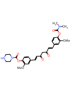 COc1cc(C=CC(=O)CC(=O)C=Cc2ccc(OC(=O)N3CCNCC3)c(OC)c2)ccc1OC(=O)N(C)C